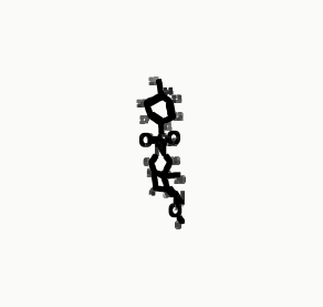 CON=C1CC2CN(S(=O)(=O)c3ccc(C)cc3)CC12C